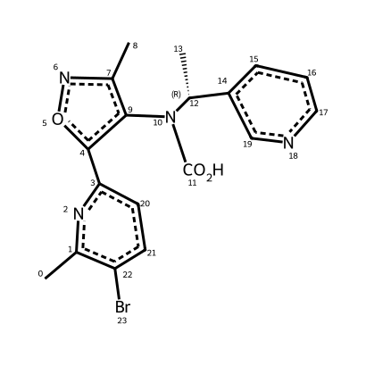 Cc1nc(-c2onc(C)c2N(C(=O)O)[C@H](C)c2cccnc2)ccc1Br